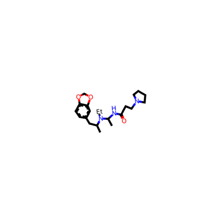 CCN(C(C)Cc1ccc2c(c1)OCO2)C(C)NC(=O)CCN1CCCC1